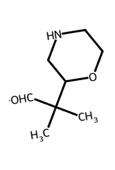 CC(C)([C]=O)C1CNCCO1